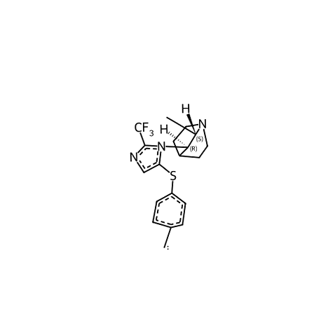 [CH]c1ccc(Sc2cnc(C(F)(F)F)n2[C@@H]2C3CCN(CC3)[C@H]2C)cc1